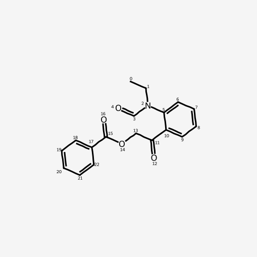 CCN(C=O)c1ccccc1C(=O)COC(=O)c1ccccc1